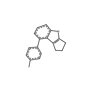 Cc1ccc(-c2cccc3c2C2=C(CCC2)[N]3)cc1